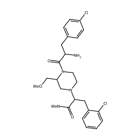 CNC(=O)C(Cc1ccccc1Cl)N1CCN(C(=O)C(N)Cc2ccc(Cl)cc2)C(COC)C1